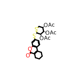 CC(=O)O[C@@H]1[C@@H](OC(C)=O)[C@H](Sc2ccc3c4c(c(=O)oc3c2)CCCC4)SC[C@H]1OC(C)=O